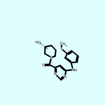 CSc1cccc(Nc2cc(C(=O)N3CCC[C@@H](O)C3)ncn2)c1